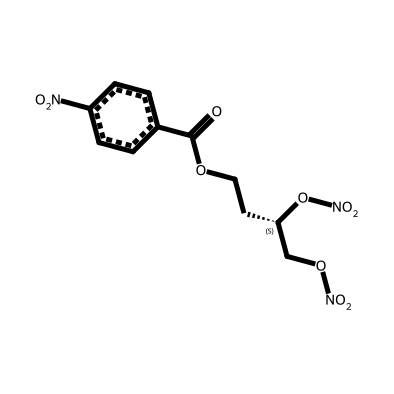 O=C(OCC[C@@H](CO[N+](=O)[O-])O[N+](=O)[O-])c1ccc([N+](=O)[O-])cc1